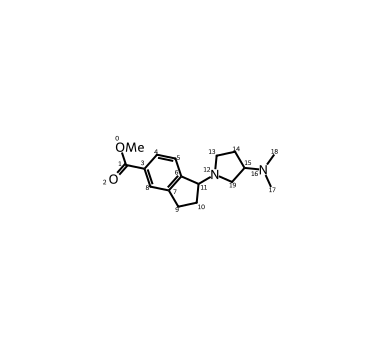 COC(=O)c1ccc2c(c1)CCC2N1CCC(N(C)C)C1